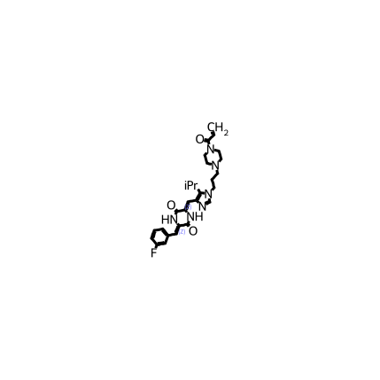 C=CC(=O)N1CCN(CCCn2cnc(/C=c3\[nH]c(=O)/c(=C/c4cccc(F)c4)[nH]c3=O)c2C(C)C)CC1